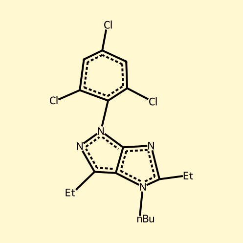 CCCCn1c(CC)nc2c1c(CC)nn2-c1c(Cl)cc(Cl)cc1Cl